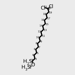 [SiH3]O[SiH2]CCCCCCCCCCCCCCCCCC(Cl)Cl